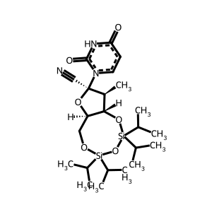 CC(C)[Si]1(C(C)C)OC[C@H]2O[C@@](C#N)(n3ccc(=O)[nH]c3=O)[C@@H](C)[C@@H]2O[Si](C(C)C)(C(C)C)O1